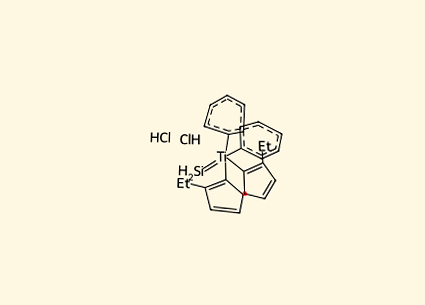 CCC1=[C]([Ti](=[SiH2])([C]2=C(CC)C=CC2)([c]2ccccc2)[c]2ccccc2)CC=C1.Cl.Cl